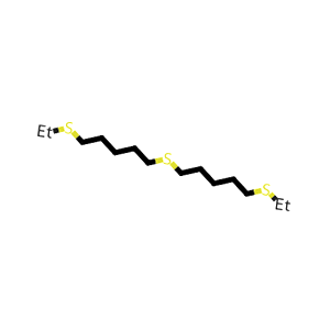 CCSCCCCCSCCCCCSCC